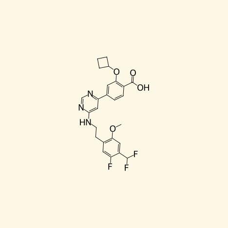 COc1cc(C(F)F)c(F)cc1CCNc1cc(-c2ccc(C(=O)O)c(OC3CCC3)c2)ncn1